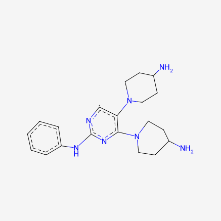 NC1CCN(c2[c]nc(Nc3ccccc3)nc2N2CCC(N)CC2)CC1